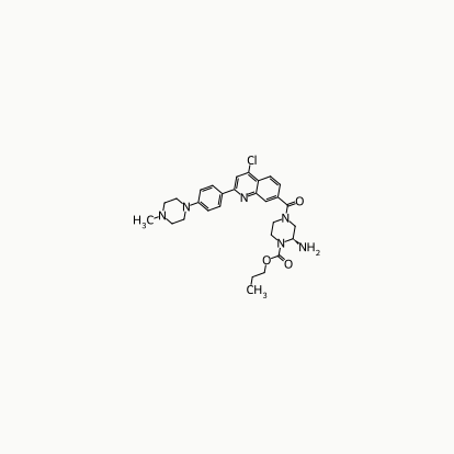 CCCOC(=O)N1CCN(C(=O)c2ccc3c(Cl)cc(-c4ccc(N5CCN(C)CC5)cc4)nc3c2)C[C@H]1N